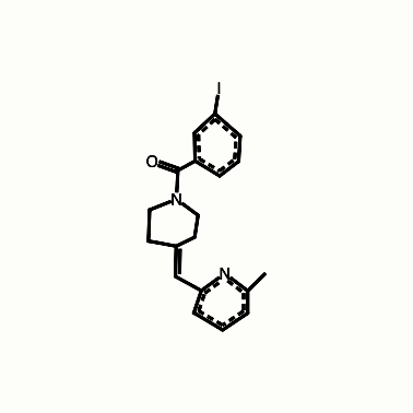 Cc1cccc(C=C2CCN(C(=O)c3cccc(I)c3)CC2)n1